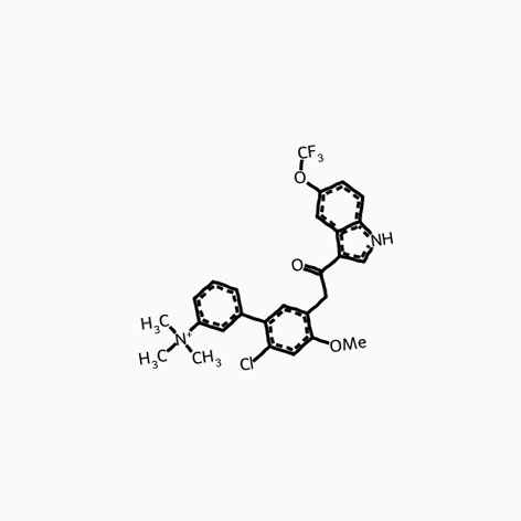 COc1cc(Cl)c(-c2cccc([N+](C)(C)C)c2)cc1CC(=O)c1c[nH]c2ccc(OC(F)(F)F)cc12